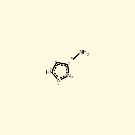 CN.c1c[nH]nn1